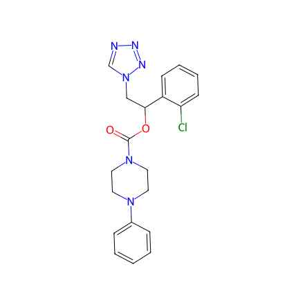 O=C(OC(Cn1cnnn1)c1ccccc1Cl)N1CCN(c2ccccc2)CC1